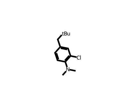 CN(C)c1ccc(CC(C)(C)C)cc1Cl